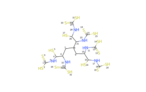 S=C(S)NC(S)C(CC(CC(NC(=S)S)C(S)NC(=S)S)C(NC(=S)S)C(S)NC(=S)S)NC(=S)S